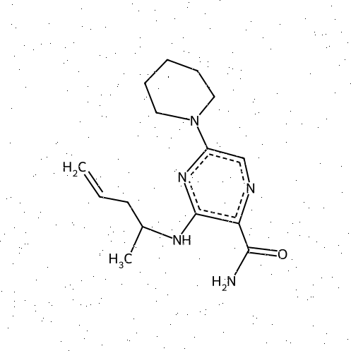 C=CCC(C)Nc1nc(N2CCCCC2)cnc1C(N)=O